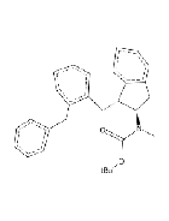 CN(C(=O)OC(C)(C)C)[C@@H]1Cc2ccccc2[C@H]1Cc1ccccc1Cc1ccccc1